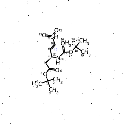 CC(C)(C)OC(=O)C[C@@H](/C=C/[SH](=O)=O)NC(=O)OC(C)(C)C